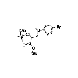 CN(CC(O[Si](C)(C)C(C)(C)C)C(=O)OC(C)(C)C)c1ccc(Br)cc1